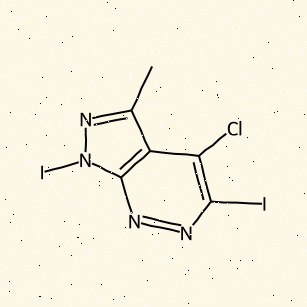 Cc1nn(I)c2nnc(I)c(Cl)c12